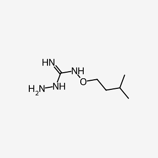 CC(C)CCONC(=N)NN